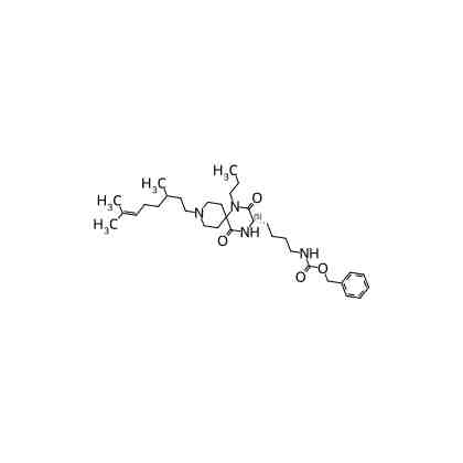 CCCN1C(=O)[C@H](CCCCNC(=O)OCc2ccccc2)NC(=O)C12CCN(CCC(C)CCC=C(C)C)CC2